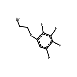 Fc1cc(SCCBr)c(F)c(F)c1F